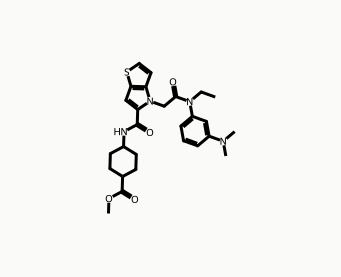 CCN(C(=O)Cn1c(C(=O)NC2CCC(C(=O)OC)CC2)cc2sccc21)c1cccc(N(C)C)c1